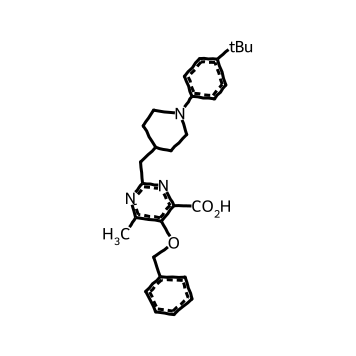 Cc1nc(CC2CCN(c3ccc(C(C)(C)C)cc3)CC2)nc(C(=O)O)c1OCc1ccccc1